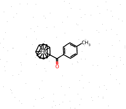 Cc1ccc(C(=O)[C]23[CH]4[CH]5[CH]6[CH]2[Fe]56432789[CH]3[CH]2[CH]7[CH]8[CH]39)cc1